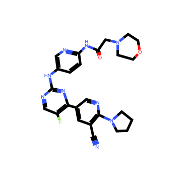 N#Cc1cc(-c2nc(Nc3ccc(NC(=O)CN4CCOCC4)nc3)ncc2F)cnc1N1CCCC1